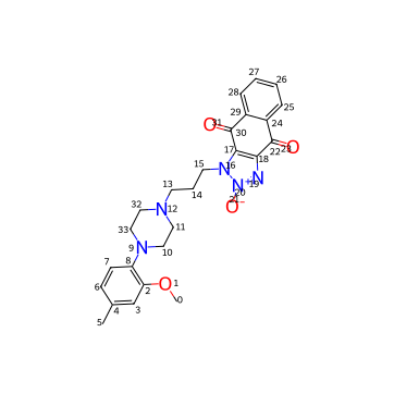 COc1cc(C)ccc1N1CCN(CCCn2c3c(n[n+]2[O-])C(=O)c2ccccc2C3=O)CC1